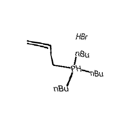 Br.C=CC[PH](CCCC)(CCCC)CCCC